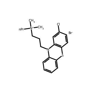 CCC[N+](C)(C)CCCN1c2ccccc2Sc2ccc(Cl)cc21.[Br-]